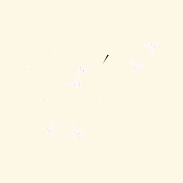 COC(=O)C(Cc1c[nH]cn1)NN[C@@H](Cc1c[nH]cn1)C(=O)OC